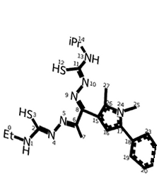 CCN/C(S)=N/N=C(C)/C(=N/N=C(\S)NC(C)C)c1cc(-c2ccccc2)n(C)c1C